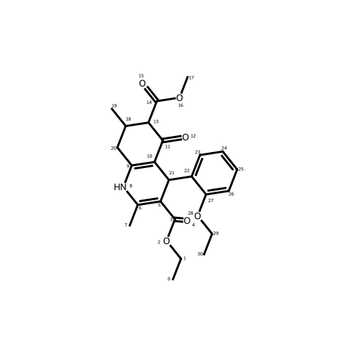 CCOC(=O)C1=C(C)NC2=C(C(=O)C(C(=O)OC)C(C)C2)C1c1ccccc1OCC